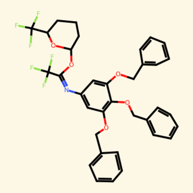 FC(F)(F)C(=Nc1cc(OCc2ccccc2)c(OCc2ccccc2)c(OCc2ccccc2)c1)OC1CCCC(C(F)(F)F)O1